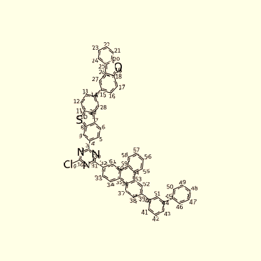 Clc1nc(-c2ccc3c(c2)sc2ccc(-c4ccc5oc6ccccc6c5c4)cc23)nc(-c2ccc3c4ccc(-c5cccc(-c6ccccc6)c5)cc4c4ccccc4c3c2)n1